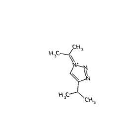 CC(C)=[N+]1C=C(C(C)C)N=N1